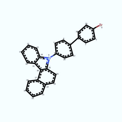 Brc1ccc(-c2ccc(-n3c4ccccc4c4c5ccccc5ccc43)cc2)cc1